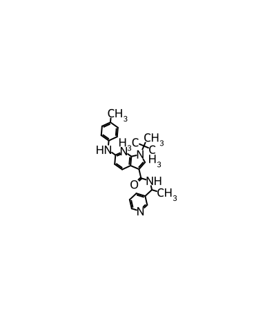 Cc1ccc(Nc2ccc3c(C(=O)NC(C)c4cccnc4)cn(C(C)(C)C)c3n2)cc1